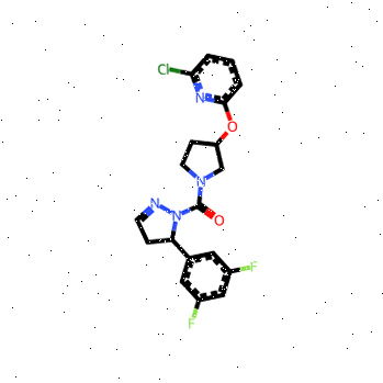 O=C(N1CCC(Oc2cccc(Cl)n2)C1)N1N=CCC1c1cc(F)cc(F)c1